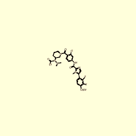 CCC(=O)N(C1CCCN(C(=O)c2ccc(NC(=O)c3ncc(-c4ccc(OC)c(F)c4F)n3C)cc2Cl)C1)N(C)C